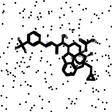 CC(=O)O[C@@]12CCC(N(C)C(=O)/C=C/c3cccc(C(F)(F)F)c3)C3Oc4cccc5c4[C@@]31CCN(CC1CC1)[C@@H]2C5